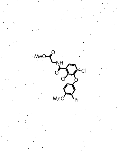 COC(=O)CNC(=O)c1ccc(Cl)c(Oc2ccc(OC)c(C(C)C)c2)c1Cl